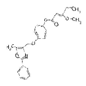 C=CC(=CC(=O)Oc1ccc(OCc2nc(-c3ccccc3)oc2C)cc1)OC